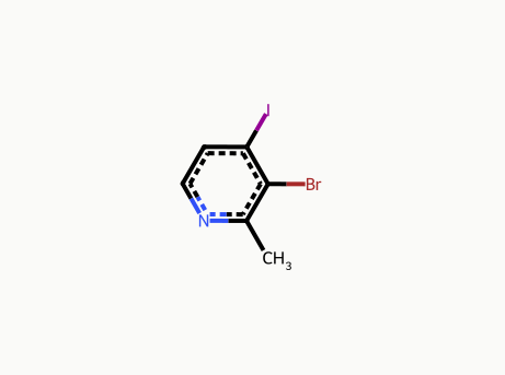 Cc1nccc(I)c1Br